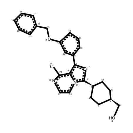 OC[C@H]1CC[C@@H](c2nc(-c3cccc(OCc4ccccc4)c3)c3c(Cl)nccn32)CC1